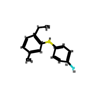 Cc1ccc(CC#N)c(Sc2ccc(F)cc2)c1